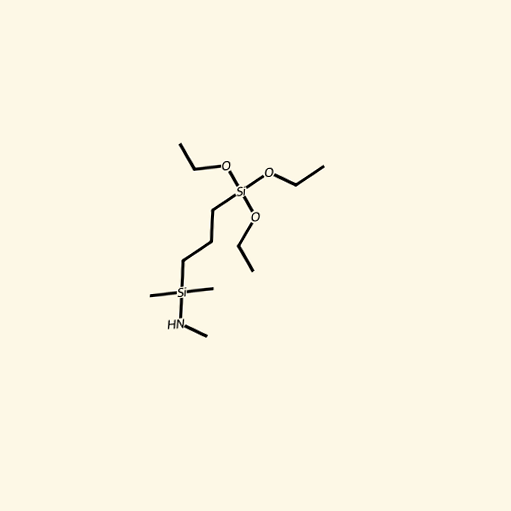 CCO[Si](CCC[Si](C)(C)NC)(OCC)OCC